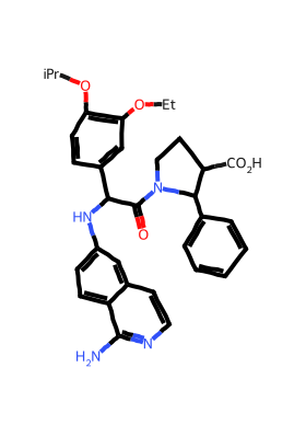 CCOc1cc(C(Nc2ccc3c(N)nccc3c2)C(=O)N2CCC(C(=O)O)C2c2ccccc2)ccc1OC(C)C